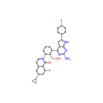 Nc1nc(-c2cccc(-n3ccc4cc(C5CC5)cc(F)c4c3=O)c2CO)c2cc(-c3ccc(F)cc3)[nH]c2n1